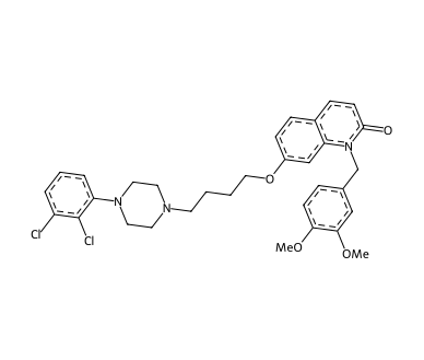 COc1ccc(Cn2c(=O)ccc3ccc(OCCCCN4CCN(c5cccc(Cl)c5Cl)CC4)cc32)cc1OC